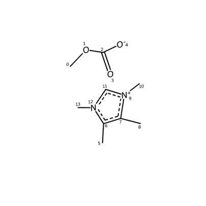 COC(=O)[O-].Cc1c(C)[n+](C)cn1C